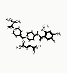 COc1cc(N)c(I)cc1C(=O)NC1CCN(CC2CCN(C(=O)N(C)C)CC2)CC1.O=C(O)C=CC(=O)O